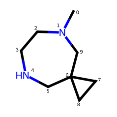 CN1CCNCC2(CC2)C1